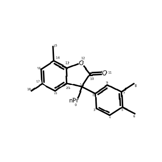 CCCC1(c2ccc(C)c(C)c2)C(=O)Oc2c(C)cc(C)cc21